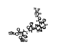 CC(C)(C)OC(=O)N(CC[C@H]1CN(c2cnc3c(n2)N(COCC[Si](C)(C)C)C(=O)CO3)C(=O)O1)C(=O)OC(C)(C)C